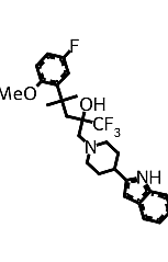 COc1ccc(F)cc1C(C)(C)CC(O)(CN1CCC(c2cc3ccccc3[nH]2)CC1)C(F)(F)F